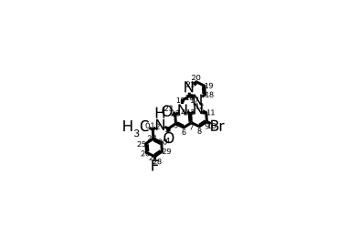 CC(NC(=O)c1cc2cc(Br)cnc2n(Cc2ncccn2)c1=O)c1ccc(F)cc1